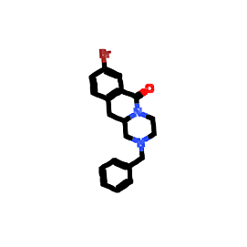 O=C1c2cc(Br)ccc2CC2CN(Cc3ccccc3)CCN12